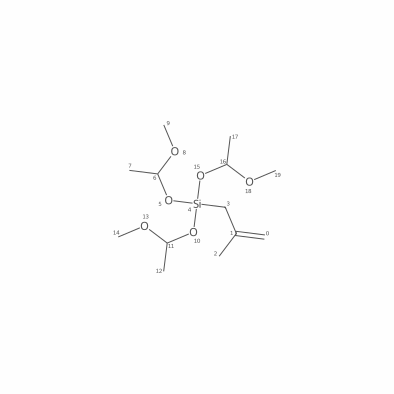 C=C(C)C[Si](OC(C)OC)(OC(C)OC)OC(C)OC